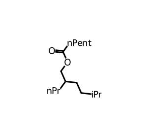 CCCCCC(=O)OCC(CCC)CCC(C)C